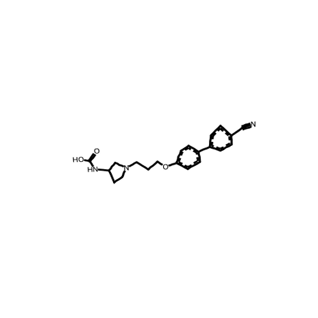 N#Cc1ccc(-c2ccc(OCCCN3CCC(NC(=O)O)C3)cc2)cc1